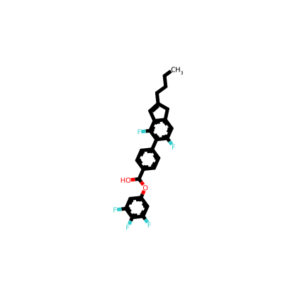 CCCCC1=Cc2c(cc(F)c(-c3ccc(C(O)Oc4cc(F)c(F)c(F)c4)cc3)c2F)C1